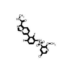 CNC(=O)c1ncn2cc(-c3c(F)ccc(NS(=O)(=O)c4cc(Cl)cnc4OC)c3F)ccc12